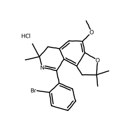 COc1cc2c(c3c1OC(C)(C)C3)C(c1ccccc1Br)=NC(C)(C)C2.Cl